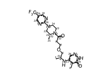 Cc1c(N[C@@H](C)COCCC(=O)N2CCN(c3ncc(C(F)(F)F)cn3)C[C@@H]2C)cn[nH]c1=O